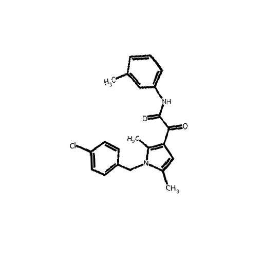 Cc1cccc(NC(=O)C(=O)c2cc(C)n(Cc3ccc(Cl)cc3)c2C)c1